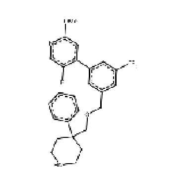 COc1cc(-c2cc(COCC3(c4ccccc4)CCNCC3)cc(C(F)(F)F)c2)c(F)cn1